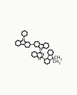 CC1(C)c2ccccc2-c2c(-c3nc(-n4c5ccccc5c5ccc(-c6ccc7c8ccccc8n(-c8ccccc8)c7c6)cc54)c4ccccc4n3)cccc21